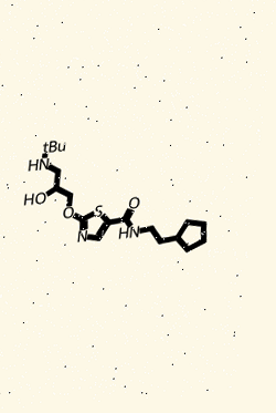 CC(C)(C)NCC(O)COc1ncc(C(=O)NCCC2CCCC2)s1